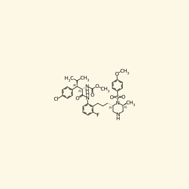 COC(=O)N[C@H](C(=O)Nc1cccc(F)c1CCC[C@H]1CNC[C@H](C)N1S(=O)(=O)c1ccc(OC)cc1)[C@@H](c1ccc(Cl)cc1)C(C)C